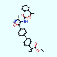 CCOC(=O)C1(c2ccc(-c3ccc(-c4onc(C)c4NC(=O)OC(C)c4ccccc4)cc3)cc2)CC1